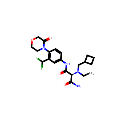 NC(=O)[C@@H](C(=O)Nc1ccc(N2CCOCC2=O)c(C(F)F)c1)N(CC1CCC1)CC(F)(F)F